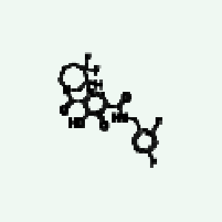 O=C(NCc1ccc(F)cc1F)c1cn2c(c(O)c1=O)C(=O)N1CCCC(F)(F)[C@H]2C1